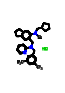 CCN(CC1CCCC1)c1cc2c(cc1CN(Cc1cc(C(F)(F)F)cc(C(F)(F)F)c1)c1ccccn1)CCC2.Cl